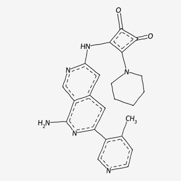 Cc1ccncc1-c1cc2cc(Nc3c(N4CCCCC4)c(=O)c3=O)ncc2c(N)n1